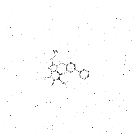 CCOc1nc2c(c(=O)n(C)c(=O)n2C)n1Cc1ccc(-c2ccccc2)cc1